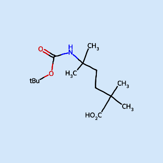 CC(C)(CCC(C)(C)C(=O)O)NC(=O)OC(C)(C)C